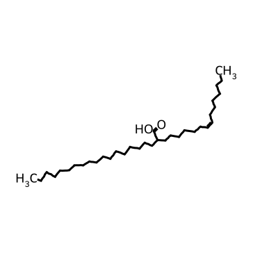 CCCCCCC/C=C\CCCCCCC(CCCCCCCCCCCCCCCCCC)C(=O)O